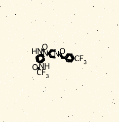 O=C(Cc1ccc(C(F)(F)F)cc1)N1CCC(n2c(=O)[nH]c3ccc(NC(=O)C(F)(F)F)cc32)CC1